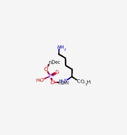 CCCCCCCCCCOP(=O)(O)OCCCCCCCCCC.NCCCCC(N)C(=O)O